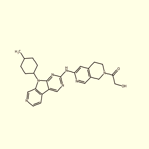 CC1CCC(n2c3cnccc3c3cnc(Nc4cc5c(cn4)CN(C(=O)CO)CC5)nc32)CC1